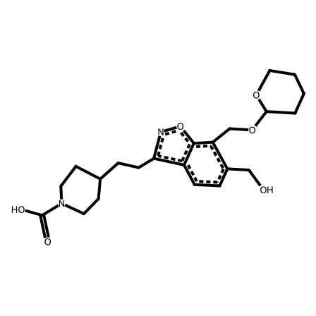 O=C(O)N1CCC(CCc2noc3c(COC4CCCCO4)c(CO)ccc23)CC1